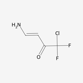 NC=CC(=O)C(F)(F)Cl